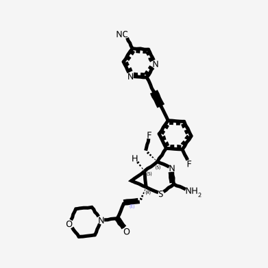 N#Cc1cnc(C#Cc2ccc(F)c([C@@]3(CF)N=C(N)S[C@@]4(/C=C/C(=O)N5CCOCC5)C[C@H]43)c2)nc1